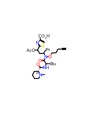 C#CCCCON(C(=O)C(NC(=O)[C@H]1CCCCN1C)C(C)CC)C(CC(OC(C)=O)c1nc(C(=O)O)cs1)C(C)C